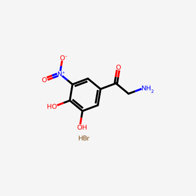 Br.NCC(=O)c1cc(O)c(O)c([N+](=O)[O-])c1